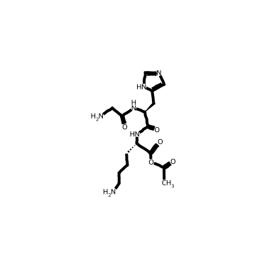 CC(=O)OC(=O)[C@H](CCCCN)NC(=O)[C@H](Cc1cnc[nH]1)NC(=O)CN